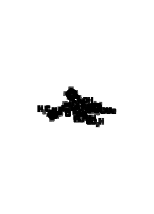 COc1ccc(CN(C[C@H](O)[C@@H](Cc2ccccc2)NC(=O)[C@@H](N2CCN(CCc3cccc(C)n3)C2=O)C(C)(C)C)NC(=O)[C@@H](NC(=O)O)C(C)(C)C)cc1